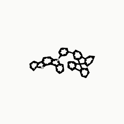 c1cc(-c2ccc3c(c2)C2(c4ccccc4-c4ccccc42)c2ccccc2-3)cc(-n2c3ccccc3c3c4oc5ccccc5c4ccc32)c1